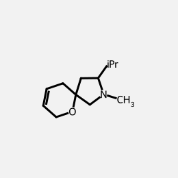 CC(C)C1CC2(CC=CCO2)CN1C